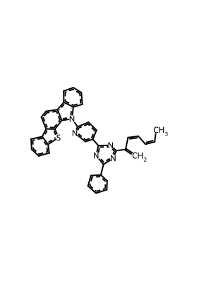 C=C(/C=C\C=C/C)c1nc(-c2ccccc2)nc(-c2ccc(-n3c4ccccc4c4ccc5c6ccccc6sc5c43)nc2)n1